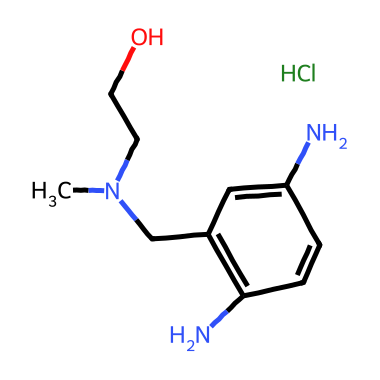 CN(CCO)Cc1cc(N)ccc1N.Cl